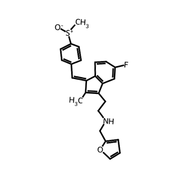 CC1=C(CCNCc2ccco2)c2cc(F)ccc2/C1=C\c1ccc([S+](C)[O-])cc1